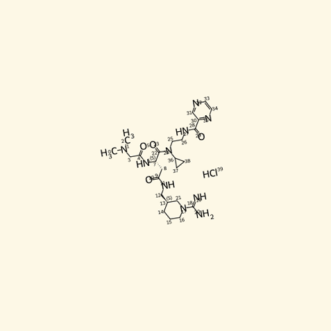 CN(C)CC(=O)N[C@@H](CC(=O)NC[C@@H]1CCCN(C(=N)N)C1)C(=O)N(CCNC(=O)c1cnccn1)C1CC1.Cl